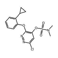 CN(C)S(=O)(=O)Oc1cc(Cl)nnc1Oc1ccccc1C1CC1